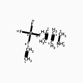 C=C.C=C.C=C.C[NH3+].F[B-](F)(F)F